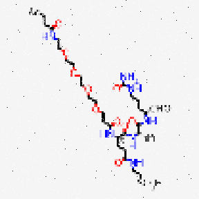 CC(=O)CCC(=O)NCCOCCOCCOCCOCCC(=O)N[C@H](CCC(=O)NCCS(=O)(=O)O)C(=O)N[C@H](C(=O)N[C@H](C=O)CCCNC(N)=O)C(C)C